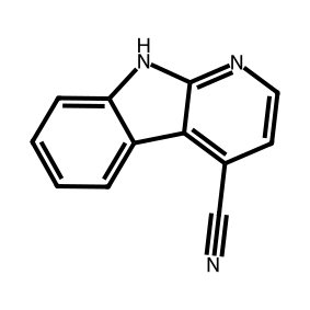 N#Cc1ccnc2[nH]c3ccccc3c12